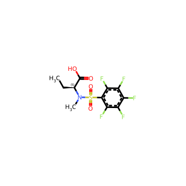 CC[C@@H](C(=O)O)N(C)S(=O)(=O)c1c(F)c(F)c(F)c(F)c1F